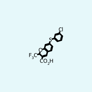 O=C(O)C1=Cc2ccc(Sc3cccc(Cl)c3)cc2OC1C(F)(F)F